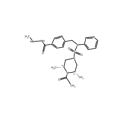 CNNC(=O)c1ccc(CN(c2cccnc2)S(=O)(=O)N2C[C@@H](C)N(C(C)=O)[C@@H](C)C2)cc1